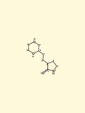 O=C1NCCC1CCC1COCCO1